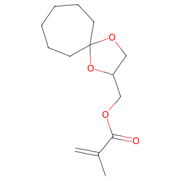 C=C(C)C(=O)OCC1COC2(CCCCCC2)O1